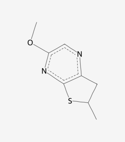 COc1cnc2c(n1)SC(C)C2